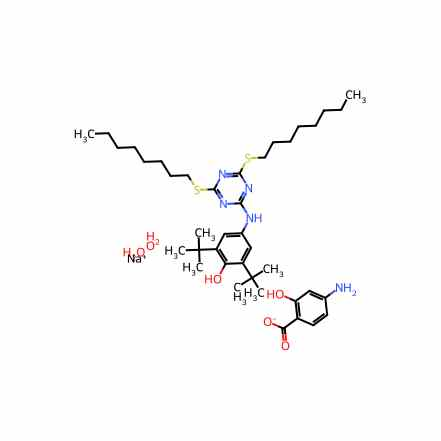 CCCCCCCCSc1nc(Nc2cc(C(C)(C)C)c(O)c(C(C)(C)C)c2)nc(SCCCCCCCC)n1.Nc1ccc(C(=O)[O-])c(O)c1.O.O.[Na+]